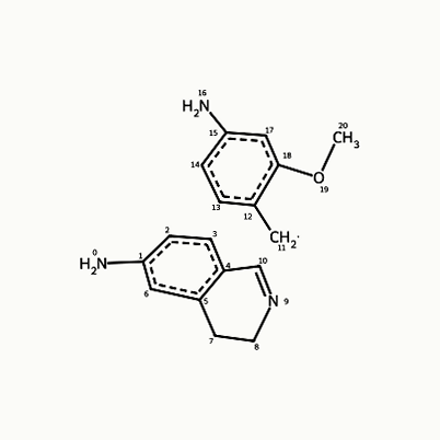 Nc1ccc2c(c1)CCN=C2.[CH2]c1ccc(N)cc1OC